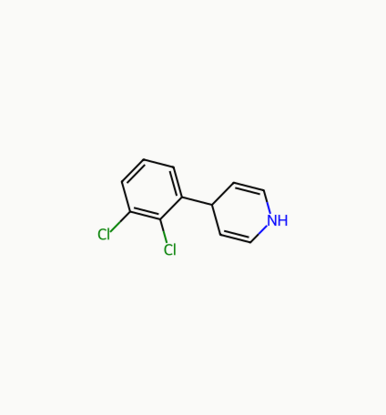 Clc1cccc(C2C=CNC=C2)c1Cl